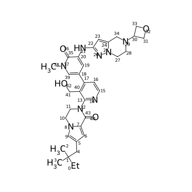 CCC(C)(C)Cc1cc2n(c1)CCN(c1nccc(-c3cc(Nc4cc5n(n4)CCN(C4COC4)C5)c(=O)n(C)c3)c1CO)C2=O